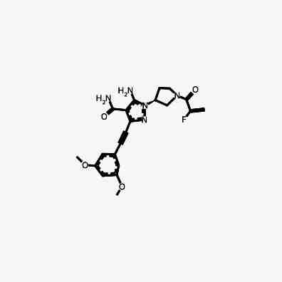 C=C(F)C(=O)N1CC[C@H](n2nc(C#Cc3cc(OC)cc(OC)c3)c(C(N)=O)c2N)C1